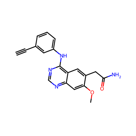 C#Cc1cccc(Nc2ncnc3cc(OC)c(CC(N)=O)cc23)c1